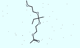 [CH2]C(CC)(OCCOC)OCCOC(C)=O